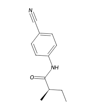 CC[C@@H](C)C(=O)Nc1ccc(C#N)cc1